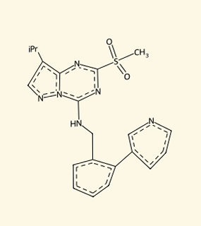 CC(C)c1cnn2c(NCc3ccccc3-c3cccnc3)nc(S(C)(=O)=O)nc12